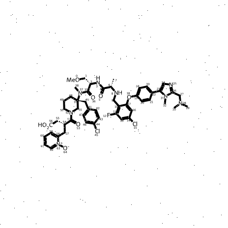 COC[C@H](NC(=O)[C@H](C)NCc1c(F)cc(Cl)cc1Oc1ccc(-c2cnc(CN(C)C)n2C)cc1)C(=O)N(C)[C@@]1(Cc2ccc(Cl)cc2)CCCN(C(=O)[C@@H](CC(=O)O)Cc2cccc[n+]2[O-])C1